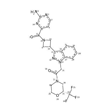 Nc1nccc(C(=O)N2CC(c3nn(CC(=O)N4CCO[C@@H](C(F)(F)F)C4)c4ccccc34)C2)n1